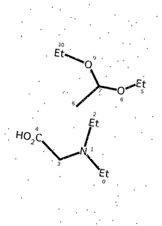 CCN(CC)CC(=O)O.CCOC(C)OCC